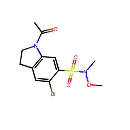 CON(C)S(=O)(=O)c1cc2c(cc1Br)CCN2C(C)=O